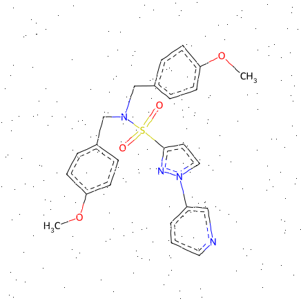 COc1ccc(CN(Cc2ccc(OC)cc2)S(=O)(=O)c2ccn(-c3cccnc3)n2)cc1